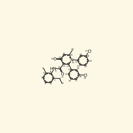 CCc1cccc(C)c1NC(=O)c1c(-c2cccc(Cl)c2)n(-c2cccc(Cl)c2)c(C)cc1=O